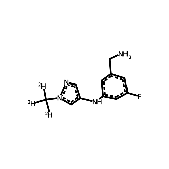 [2H]C([2H])([2H])n1cc(Nc2cc(F)cc(CN)c2)cn1